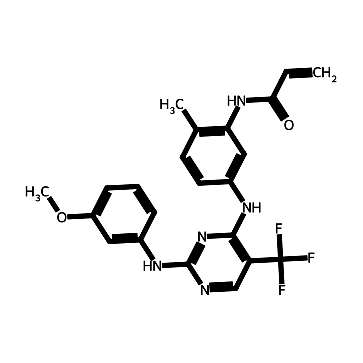 C=CC(=O)Nc1cc(Nc2nc(Nc3cccc(OC)c3)ncc2C(F)(F)F)ccc1C